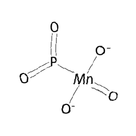 O=[P](=O)[Mn](=[O])([O-])[O-]